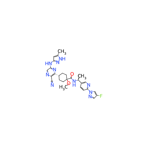 CO[C@]1(C(=O)N[C@@H](C)c2ccc(-n3cc(F)cn3)nc2)CC[C@@H](c2nc(Nc3cc(C)[nH]n3)cnc2C#N)CC1